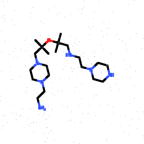 C[Si](C)(CNCCN1CCNCC1)O[Si](C)(C)CN1CCN(CCN)CC1